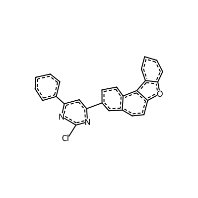 Clc1nc(-c2ccccc2)cc(-c2ccc3c(ccc4oc5ccccc5c43)c2)n1